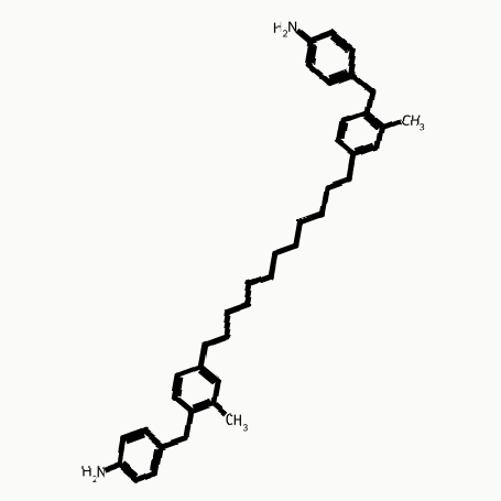 Cc1cc(CCCCCCCCCCCCc2ccc(Cc3ccc(N)cc3)c(C)c2)ccc1Cc1ccc(N)cc1